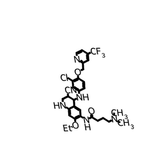 CCOc1cc2c(cc1NC(=O)CCCN(C)C)C(Nc1ccc(OCc3cc(C(F)(F)F)ccn3)c(Cl)c1)C(C#N)CN2